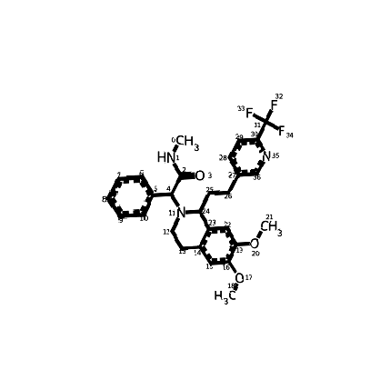 CNC(=O)C(c1ccccc1)N1CCc2cc(OC)c(OC)cc2C1CCc1ccc(C(F)(F)F)nc1